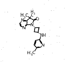 Cc1ccc(N[C@H]2C[C@@H](N3C(=O)C(C)(C)c4nccnc43)C2)nc1